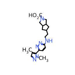 Cc1cnn(C)c1-c1ccc(NCCC2CC3CN(C(=O)O)CC3C2)nn1